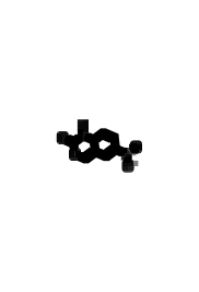 O=C1NC2C=CC([N+](=O)[O-])=CC2=CO1